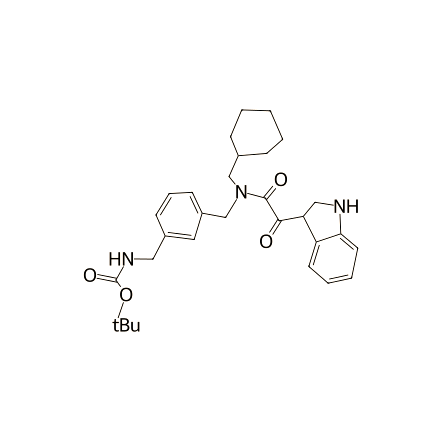 CC(C)(C)OC(=O)NCc1cccc(CN(CC2CCCCC2)C(=O)C(=O)C2CNc3ccccc32)c1